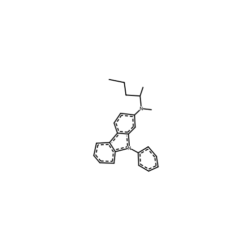 CCCC(C)N(C)c1ccc2c3ccccc3n(-c3ccccc3)c2c1